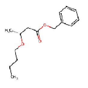 CCCCO[C@H](C)CC(=O)OCc1ccccc1